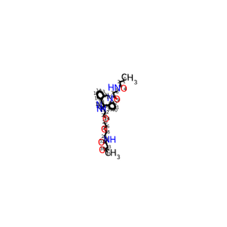 CCCC(=O)NCCC(=O)N1Cc2ccccc2-c2nnn(CCOCCOCCNC(=O)CC(C)=O)c2-c2ccccc21